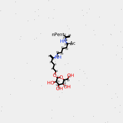 C=C(CCCCOC1OC(CO)C(O)C(O)C1O)NCCCC[C@@H](NC(=C)CCCCC)C(C)=O